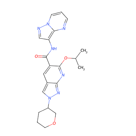 CC(C)Oc1nc2nn(C3CCCOC3)cc2cc1C(=O)Nc1cnn2cccnc12